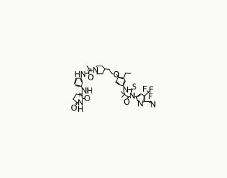 CCc1cc(N2C(=S)N(c3cnc(C#N)c(C(F)(F)F)c3)C(=O)C2(C)C)ccc1OCCC1CCN([C@H](C)C(=O)Nc2cccc(N[C@H]3CCC(=O)NC3=O)c2)CC1